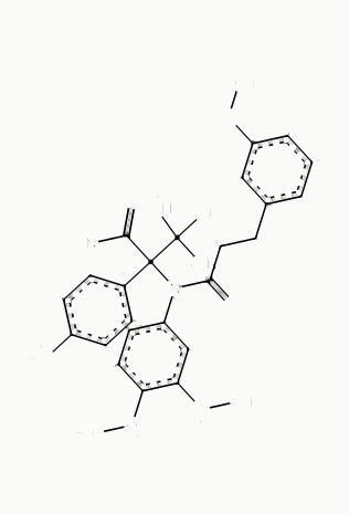 COc1cccc(CCC(=O)N(c2ccc(OC)c(OC)c2)C(C(N)=O)(c2ccc(O)cc2)C(C)(C)C)c1